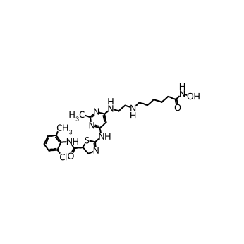 Cc1nc(NCCNCCCCCC(=O)NO)cc(NC2=NCC(C(=O)Nc3c(C)cccc3Cl)S2)n1